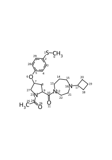 CSc1ccc(OC2CC(C(=O)N3CCCN(C4CCC4)CC3)N(C(C)=O)C2)cc1